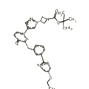 CCOc1cnc(-c2cccc(Cc3nn(-c4cnn(C5CN(C(=O)OC(C)(C)C)C5)c4)ccc3=O)c2)nc1